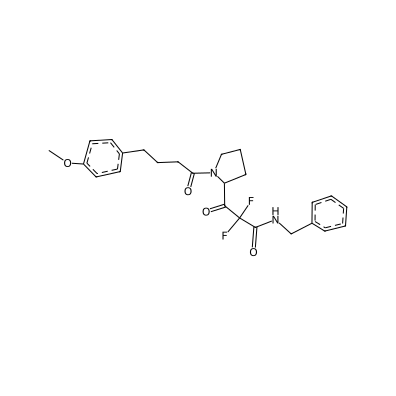 COc1ccc(CCCC(=O)N2CCCC2C(=O)C(F)(F)C(=O)NCc2ccccc2)cc1